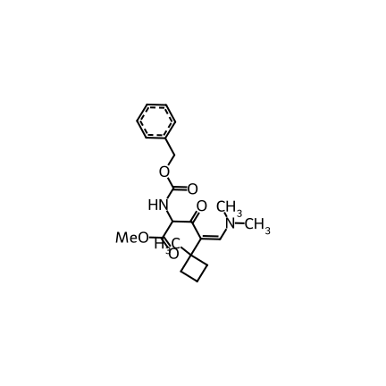 COC(=O)C(NC(=O)OCc1ccccc1)C(=O)/C(=C\N(C)C)C1(C)CCC1